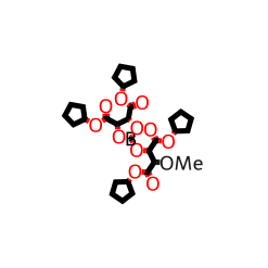 COC(C(=O)OC1CCCC1)C(OB1OC(C(=O)OC2CCCC2)C(C(=O)OC2CCCC2)O1)C(=O)OC1CCCC1